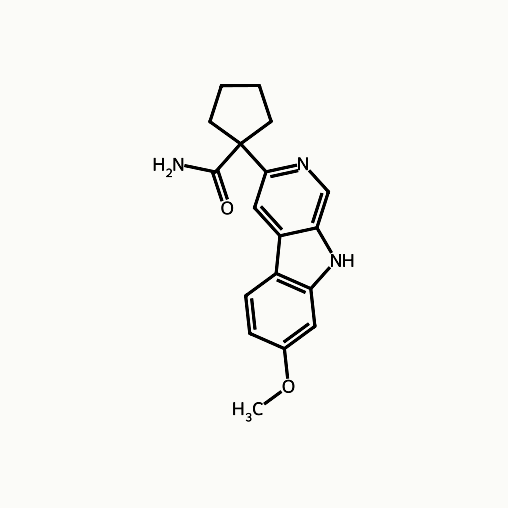 COc1ccc2c(c1)[nH]c1cnc(C3(C(N)=O)CCCC3)cc12